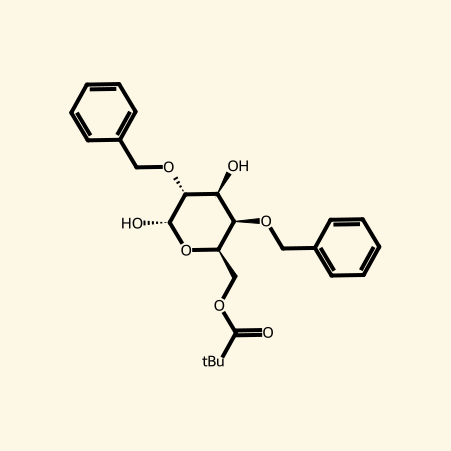 CC(C)(C)C(=O)OC[C@H]1O[C@H](O)[C@H](OCc2ccccc2)[C@@H](O)[C@H]1OCc1ccccc1